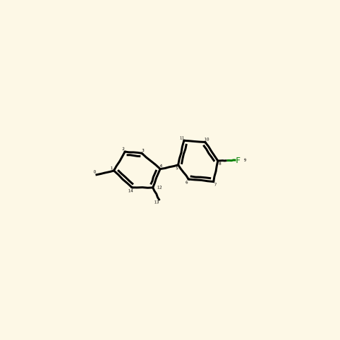 Cc1ccc(-c2ccc(F)cc2)c(C)c1